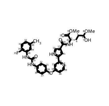 COC(=O)[C@H](CCC(O)OC)NC(=O)c1c[nH]c(-c2cc(Oc3ccc(NC(=O)Nc4cc(C)ccc4F)cc3)ccn2)c1